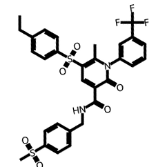 CCc1ccc(S(=O)(=O)c2cc(C(=O)NCc3ccc(S(C)(=O)=O)cc3)c(=O)n(-c3cccc(C(F)(F)F)c3)c2C)cc1